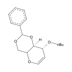 CCCCO[C@@H]1C=COC2COC(c3ccccc3)O[C@H]21